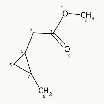 COC(=O)CC1CC1C